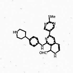 CSc1ncc(-c2cc3c(c(Nc4ccc(C5CCNCC5)cc4)n2)C(C=O)NC=C3)cn1